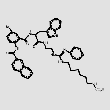 O=C(O)NCCCCCCNC(=Nc1ccccc1)NCCNC(=O)C(Cc1c[nH]c2ccccc12)NC(=O)c1cc(Br)ccc1NC(=O)c1ccc2ccccc2c1